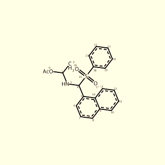 CC(=O)OC(C)NC(c1cccc2ccccc12)S(=O)(=O)c1ccccc1